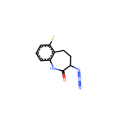 [N-]=[N+]=NC1CCc2c(F)cccc2NC1=O